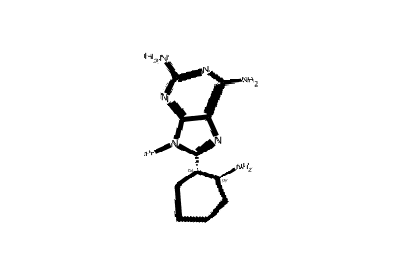 CC(C)n1c([C@H]2CCCC[C@@H]2N)nc2c(N)nc(N)nc21